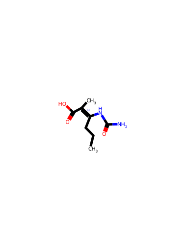 CCC/C(NC(N)=O)=C(/C)C(=O)O